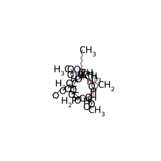 C=C1C[C@H]2C[C@H]3C[C@@H](OC(C)=O)C[C@@H](C[C@@H](OP)CC(=O)O[C@@H]([C@@H](C)OCOCc4ccccc4)C[C@@H]4C/C(=C\C(=O)OC)[C@H](OC(=O)CCCCCCC)[C@@](OC)(O4)C(C)(C)/C=C/[C@@H](C1)O2)O3